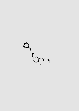 COC1CCN(CC(=O)OCc2ccccc2)CC1NC(=O)OC(C)(C)C